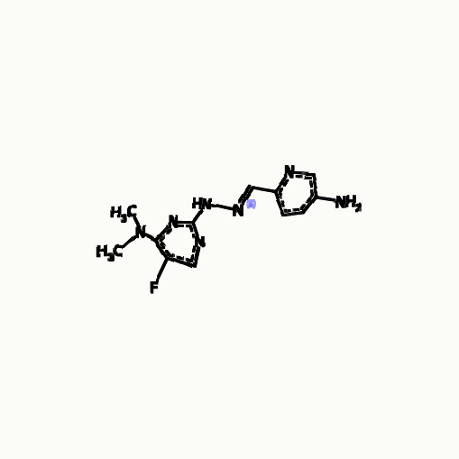 CN(C)c1nc(N/N=C/c2ccc(N)cn2)ncc1F